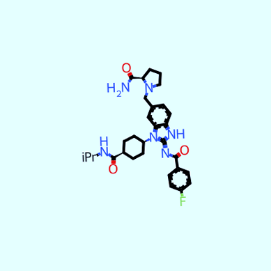 CC(C)NC(=O)[C@H]1CC[C@@H](n2/c(=N/C(=O)c3ccc(F)cc3)[nH]c3ccc(CN4CCC[C@@H]4C(N)=O)cc32)CC1